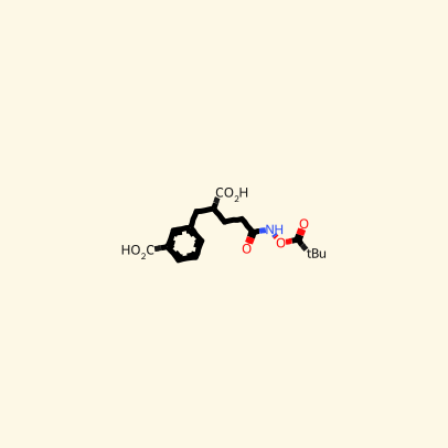 CC(C)(C)C(=O)ONC(=O)CCC(Cc1cccc(C(=O)O)c1)C(=O)O